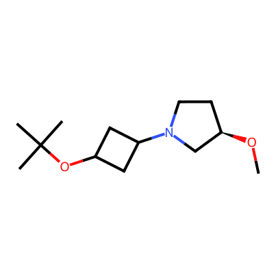 CO[C@@H]1CCN(C2CC(OC(C)(C)C)C2)C1